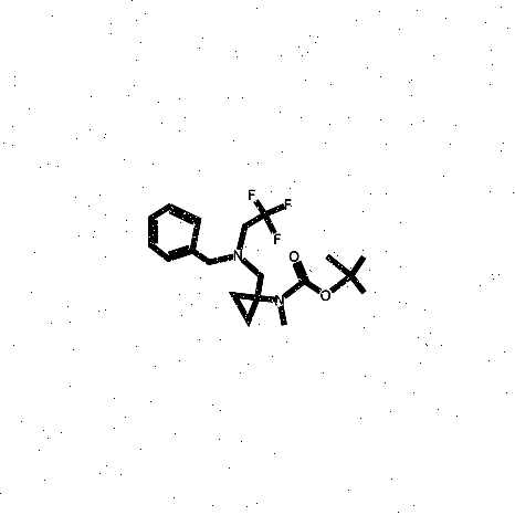 CN(C(=O)OC(C)(C)C)C1(CN(Cc2ccccc2)CC(F)(F)F)CC1